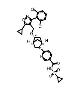 O=C(NS(=O)(=O)C1CC1)c1ccc(N2C[C@@H]3C[C@H]2C[C@H]3OCc2c(-c3c(Cl)cccc3Cl)noc2C2CC2)nc1